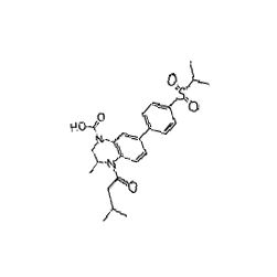 CC(C)CC(=O)N1c2ccc(-c3ccc(S(=O)(=O)C(C)C)cc3)cc2N(C(=O)O)C[C@@H]1C